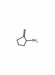 C=C1CCCC1N